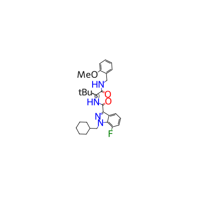 COc1ccccc1CNC(=O)[C@@H](NC(=O)c1nn(CC2CCCCC2)c2c(F)cccc12)C(C)(C)C